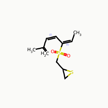 C=C(C)/C=C\C(=C/C)S(=O)(=O)CC1CS1